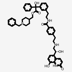 O=C(NCCc1cccc(C(O)(C(=O)OCC2CCN(Cc3ccccc3)CC2)c2ccccc2)c1)c1ccc(CCNC[C@H](O)c2ccc(O)c3[nH]c(=O)ccc23)cc1